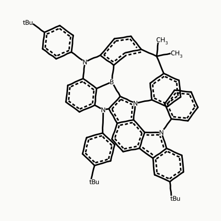 CC(C)(C)c1ccc(N2c3ccc4cc3B3c5c2cccc5N(c2ccc(C(C)(C)C)cc2)c2c3n(c3c2ccc2c5cc(C(C)(C)C)ccc5n(-c5ccccc5)c23)-c2cccc(c2)C4(C)C)cc1